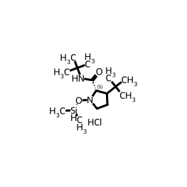 C[SiH](C)ON1CCC(C(C)(C)C)[C@H]1C(=O)NC(C)(C)C.Cl